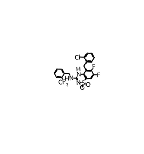 O=S1(=O)N=C(NCc2ccccc2C(F)(F)F)Nc2c1cc(F)c(F)c2Cc1ccccc1Cl